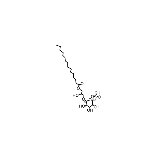 CCCCCCCCCCCCCCCC(=O)OCC(O)CO[C@H]1O[C@H](CS(=O)(=O)O)[C@@H](O)[C@H](O)[C@H]1O